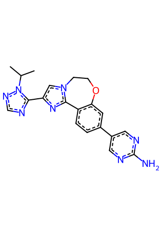 CC(C)n1ncnc1-c1cn2c(n1)-c1ccc(-c3cnc(N)nc3)cc1OCC2